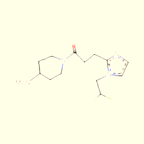 CNC1CCN(C(=O)CCc2nccn2CC(F)F)CC1